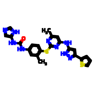 Cc1cc(Nc2cc(-c3cccs3)n[nH]2)nc(Sc2ccc(NC(=O)Nc3cnc[nH]3)cc2C)n1